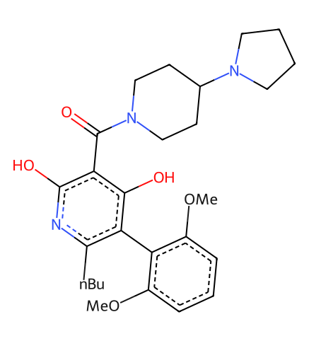 CCCCc1nc(O)c(C(=O)N2CCC(N3CCCC3)CC2)c(O)c1-c1c(OC)cccc1OC